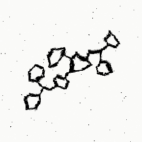 C(=C(c1ccccc1)c1ccccc1)c1ccc(-c2ccc(C=C(c3ccccc3)c3ccccc3)cc2-c2ccccc2)cc1